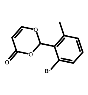 Cc1cccc(Br)c1C1OC=CC(=O)O1